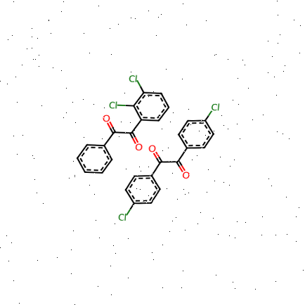 O=C(C(=O)c1ccc(Cl)cc1)c1ccc(Cl)cc1.O=C(C(=O)c1cccc(Cl)c1Cl)c1ccccc1